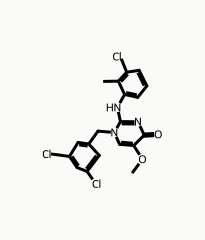 COc1cn(Cc2cc(Cl)cc(Cl)c2)c(Nc2cccc(Cl)c2C)nc1=O